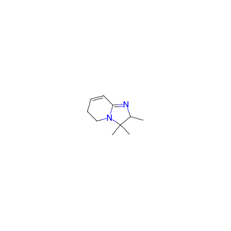 CC1N=C2C=CCCN2C1(C)C